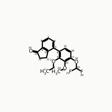 CCOc1c(-c2cccc3c2CCC3=O)ccc(OC(F)F)c1OC